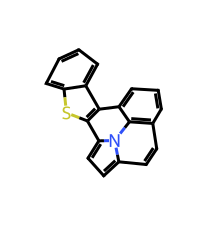 c1ccc2c(c1)sc1c2c2cccc3ccc4ccc1n4c32